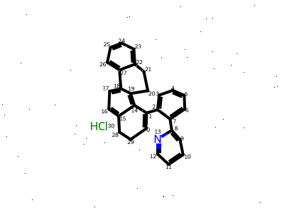 C1=C(c2ccccc2-c2ccccn2)c2c(ccc3c2CCc2ccccc2-3)CC1.Cl